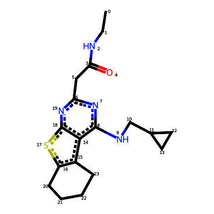 CCNC(=O)Cc1nc(NCC2CC2)c2c3c(sc2n1)CCCC3